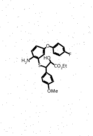 CCOC(=O)C(O)C(Sc1cc(Oc2ccc(F)cc2)ccc1N)c1ccc(OC)cc1